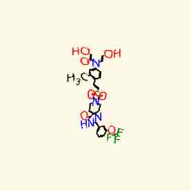 Cc1cc(N(CCO)C(=O)CO)ccc1C=CS(=O)(=O)N1CCC2(CC1)N=C(c1cccc(OC(F)(F)F)c1)NC2=O